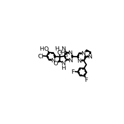 CC1(c2cc(O)c(Cl)cn2)C(=O)Nc2nc(-c3cn4ccnc4c(Cc4cc(F)cc(F)c4)n3)nc(N)c21